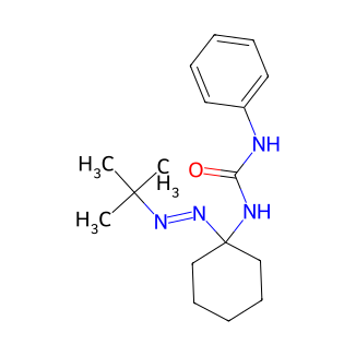 CC(C)(C)N=NC1(NC(=O)Nc2ccccc2)CCCCC1